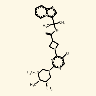 C[C@@H]1CN(c2ncc(Cl)c(N3CC(C(=O)NC(C)(C)c4cnc5ccccn45)C3)n2)C[C@@H](C)N1C